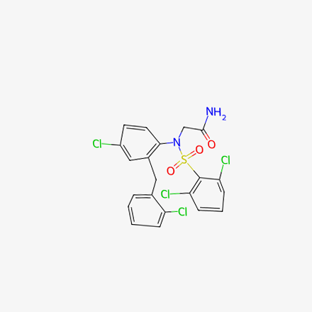 NC(=O)CN(c1ccc(Cl)cc1Cc1ccccc1Cl)S(=O)(=O)c1c(Cl)cccc1Cl